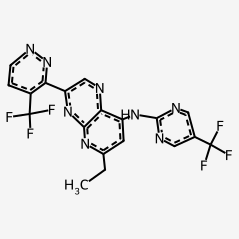 CCc1cc(Nc2ncc(C(F)(F)F)cn2)c2ncc(-c3nnccc3C(F)(F)F)nc2n1